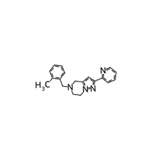 Cc1ccccc1CN1CCn2nc(-c3ccccn3)cc2C1